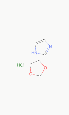 C1COCO1.Cl.c1c[nH]cn1